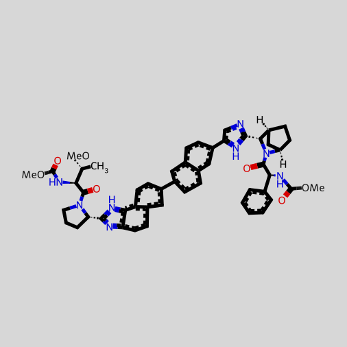 COC(=O)N[C@H](C(=O)N1CCC[C@H]1c1nc2ccc3cc(-c4ccc5cc(-c6cnc([C@@H]7[C@H]8CC[C@H](C8)N7C(=O)[C@H](NC(=O)OC)c7ccccc7)[nH]6)ccc5c4)ccc3c2[nH]1)[C@@H](C)OC